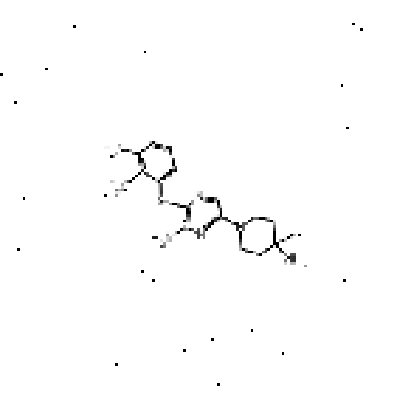 CC1(N)CCN(c2cnc(Sc3cccc(N)c3C(F)(F)F)c(N)n2)CC1